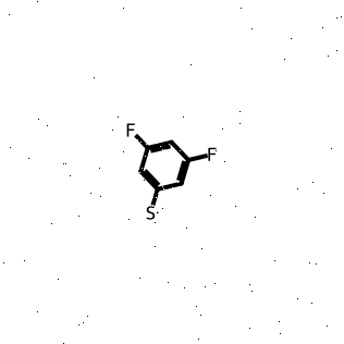 Fc1cc(F)cc([S])c1